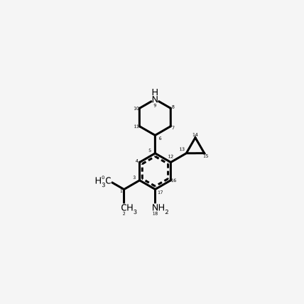 CC(C)c1cc(C2CCNCC2)c(C2CC2)cc1N